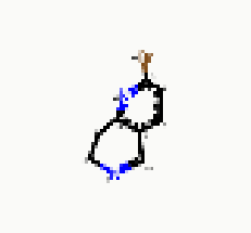 Brc1ccc2c(n1)CCN=C2